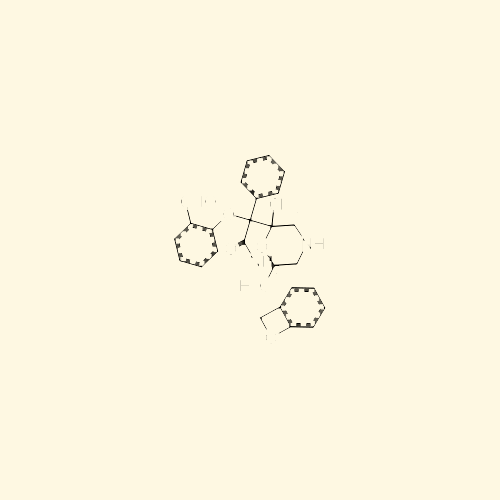 CC1CNCC(C)(C(Oc2ccccc2C=O)(C(N)=O)c2ccccc2)O1.c1ccc2c(c1)CO2